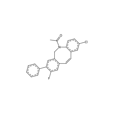 CC(=O)N1Cc2cc(-c3ccccc3)c(F)cc2/C=C\c2cc(Cl)ccc21